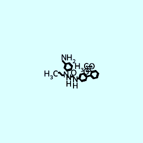 CCCN(NC(=O)Nc1ccc(-c2ccccc2S(C)(=O)=O)cc1)c1cccc(CN)c1